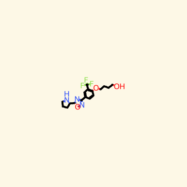 OCCCCOc1ccc(-c2noc(C3CCCN3)n2)cc1C(F)(F)F